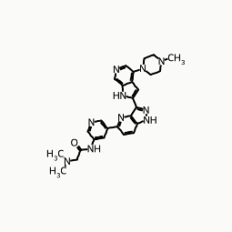 CN(C)CC(=O)Nc1cncc(-c2ccc3[nH]nc(-c4cc5c(N6CCN(C)CC6)cncc5[nH]4)c3n2)c1